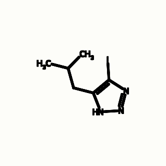 CC(C)Cc1[nH]nnc1I